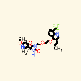 CCCc1cnc2c(C(F)(F)F)cccc2c1OCCOCCN1C(=O)NC(C)(c2ccc(OC)nc2)C1=O